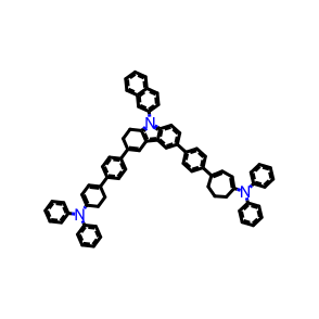 C1=C(c2ccc(-c3ccc4c(c3)c3c(n4-c4ccc5ccccc5c4)CCC(c4ccc(C5=CC=C(N(c6ccccc6)c6ccccc6)CC5)cc4)=C3)cc2)CCCC(N(c2ccccc2)c2ccccc2)=C1